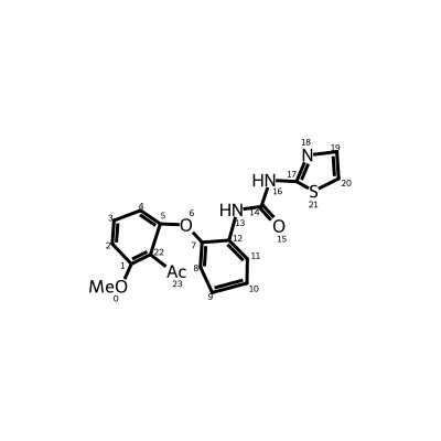 COc1cccc(Oc2ccccc2NC(=O)Nc2nccs2)c1C(C)=O